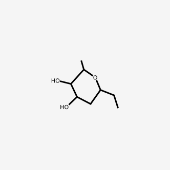 CCC1CC(O)C(O)C(C)O1